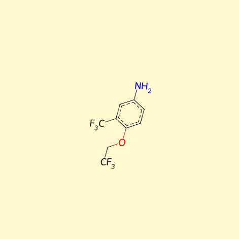 Nc1ccc(OCC(F)(F)F)c(C(F)(F)F)c1